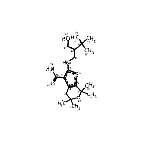 CC1(C)Cc2c(sc(NCC(CO)C(C)(C)C)c2C(N)=O)C(C)(C)O1